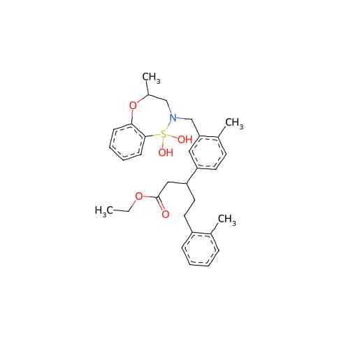 CCOC(=O)CC(CCc1ccccc1C)c1ccc(C)c(CN2CC(C)Oc3ccccc3S2(O)O)c1